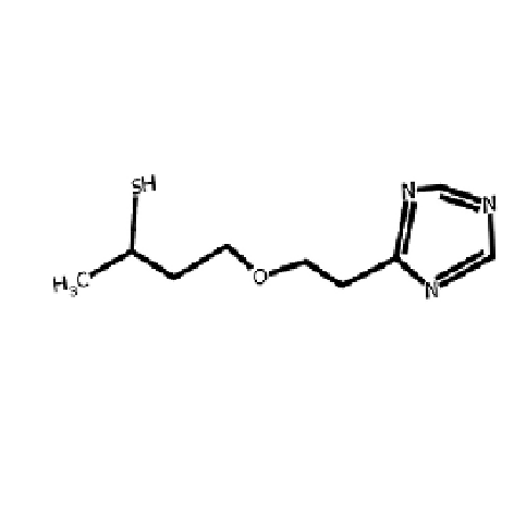 CC(S)CCOCCc1ncncn1